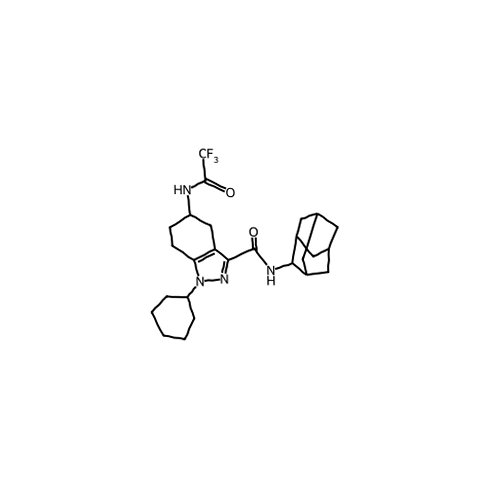 O=C(NC1C2CC3CC(C2)CC1C3)c1nn(C2CCCCC2)c2c1CC(NC(=O)C(F)(F)F)CC2